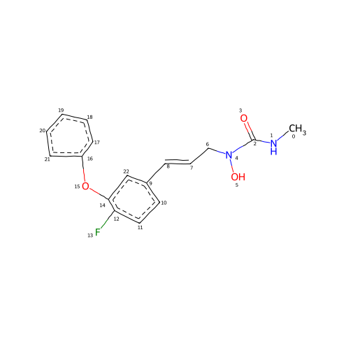 CNC(=O)N(O)C/C=C/c1ccc(F)c(Oc2ccccc2)c1